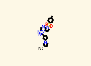 Cc1ccc(S(=O)(=O)n2ccc3c2ncc2nnc(C4CC[C@H](n5ccc(C#N)c5)C4)n23)cc1